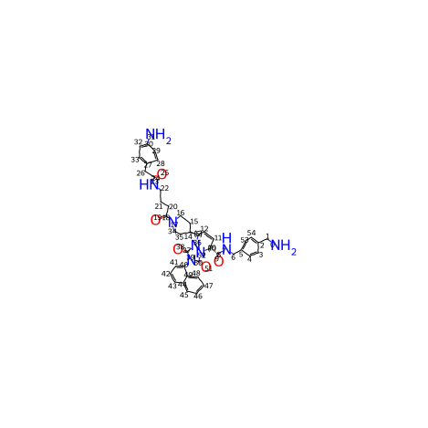 NCc1ccc(CNC(=O)[C@H]2C=C[C@H](C3CCN(C(=O)CCCNC(=O)Cc4ccc(N)cc4)CC3)n3c(=O)n(-c4cccc5ccccc45)c(=O)n32)cc1